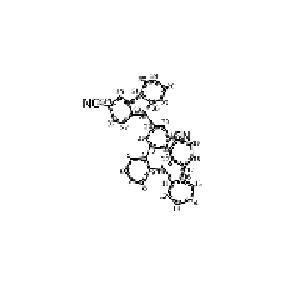 N#Cc1cc(-c2ccccc2-n2c3ccccc3c3ccccc32)cc(-n2c3ccccc3c3cc(C#N)ccc32)c1